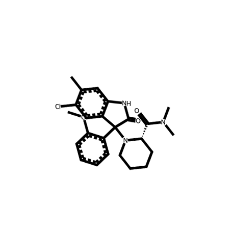 COc1ccccc1C1(N2CCCC[C@H]2C(=O)N(C)C)C(=O)Nc2cc(C)c(Cl)cc21